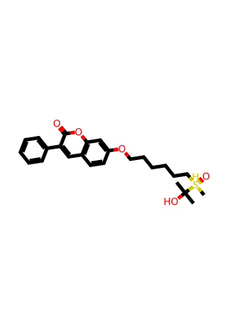 CC(C)(O)[SH](C)(=O)CCCCCCOc1ccc2cc(-c3ccccc3)c(=O)oc2c1